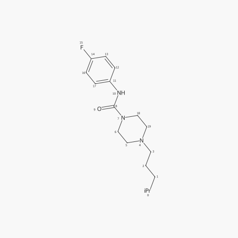 CC(C)CCCN1CCN(C(=O)Nc2ccc(F)cc2)CC1